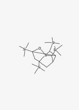 C[Si](C)(C)C1C2CC3([Si](C)(C)C)CC4([Si](C)(C)C)O[Si]13C([Si](C)(C)C)C24